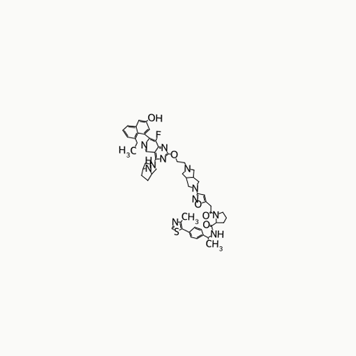 CCc1cccc2cc(O)cc(-c3ncc4c(N5CC6CCC(C5)N6)nc(OCCN5CC6CN(c7cc(CC(=O)N8CCCC8C(=O)NC(C)c8ccc(-c9scnc9C)cc8)on7)CC6C5)nc4c3F)c12